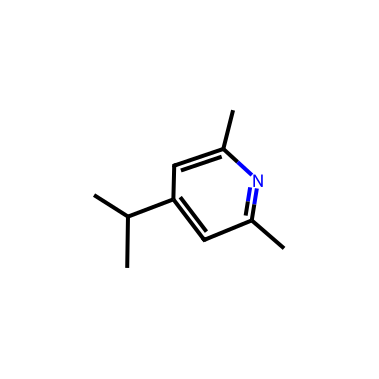 Cc1cc(C(C)C)cc(C)n1